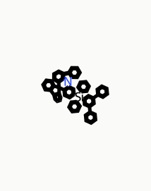 c1ccc(-c2cc(-c3ccccc3)cc([Si](c3ccccc3)(c3ccccc3)c3ccc4c(c3)-n3c5ccccc5c5cccc(c53)C43c4ccccc4-c4ccccc43)c2)cc1